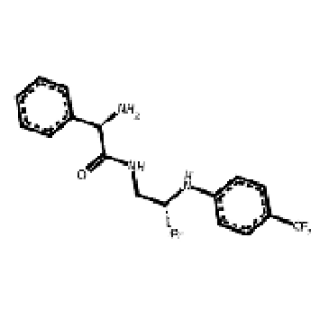 CC(C)[C@H](CNC(=O)[C@H](N)c1ccccc1)Nc1ccc(C(F)(F)F)cc1